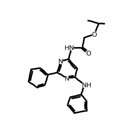 CC(C)OCC(=O)Nc1cc(Nc2ccccc2)nc(-c2ccccc2)n1